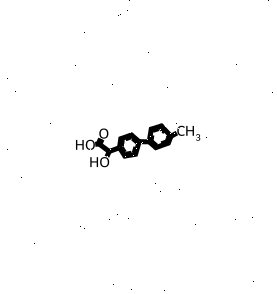 Cc1ccc(-c2ccc(C(O)C(=O)O)cc2)cc1